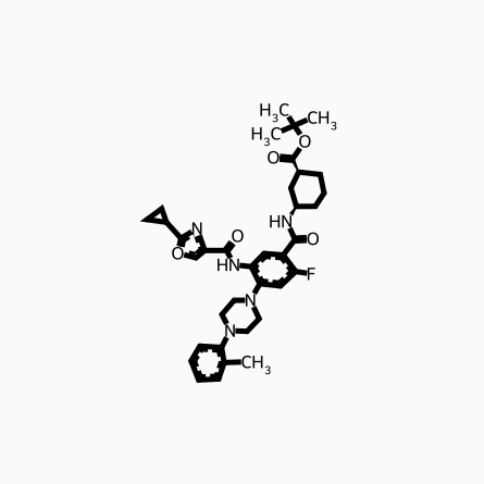 Cc1ccccc1N1CCN(c2cc(F)c(C(=O)N[C@@H]3CCC[C@H](C(=O)OC(C)(C)C)C3)cc2NC(=O)c2coc(C3CC3)n2)CC1